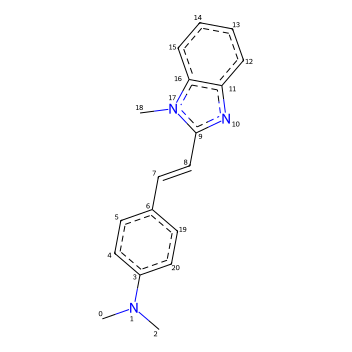 CN(C)c1ccc(/C=C/c2nc3ccccc3n2C)cc1